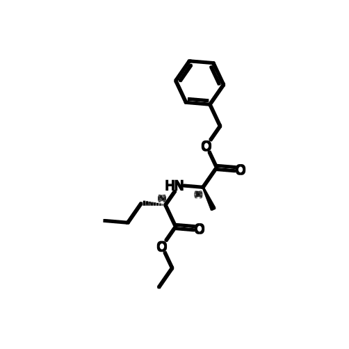 CCC[C@H](N[C@H](C)C(=O)OCc1ccccc1)C(=O)OCC